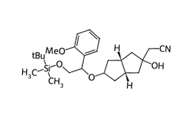 COc1ccccc1C(CO[Si](C)(C)C(C)(C)C)OC1C[C@@H]2CC(O)(CC#N)C[C@@H]2C1